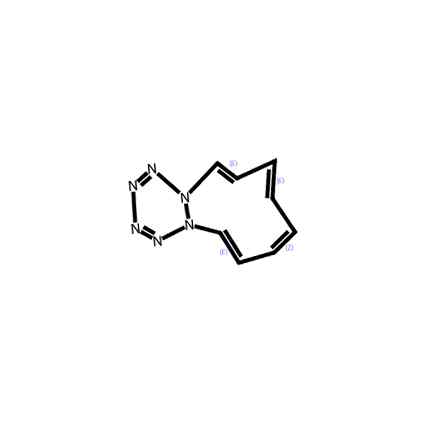 C1=C\C=C\N2N=NN=NN2/C=C/C=C/1